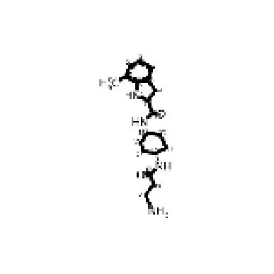 Cc1cccc2c1NC(C(=O)N[C@H]1CC[C@@H](NC(=O)CCN)CC1)C2